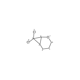 ClC1(Cl)C2CCCOC21